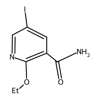 CCOc1ncc(I)cc1C(N)=O